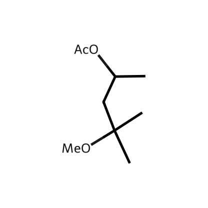 COC(C)(C)CC(C)OC(C)=O